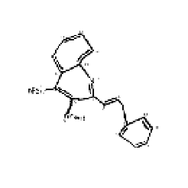 CCCCCc1c(C=Cc2ccccc2)nc2ccccc2c1CCCCC